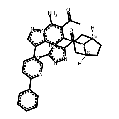 CC(=O)c1c([C@H]2C[C@H]3CC[C@@H](C2)N3C(=O)c2nnc(O)[nH]2)nc2c(-c3ccc(-c4ccccc4)nc3)cnn2c1N